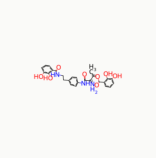 C[C@@H](OC(=O)c1cccc(O)c1O)[C@H](N)C(=O)Nc1ccc(CCNC(=O)c2cccc(O)c2O)cc1